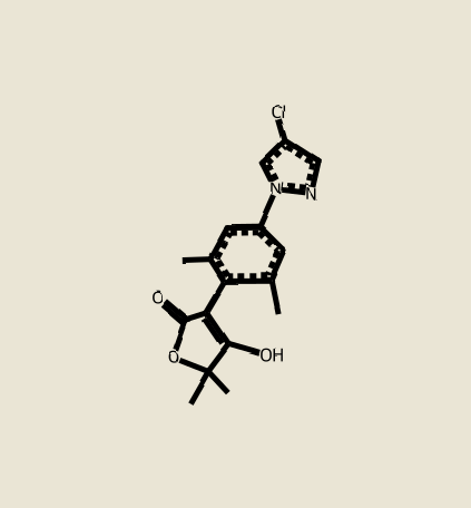 Cc1cc(-n2cc(Cl)cn2)cc(C)c1C1=C(O)C(C)(C)OC1=O